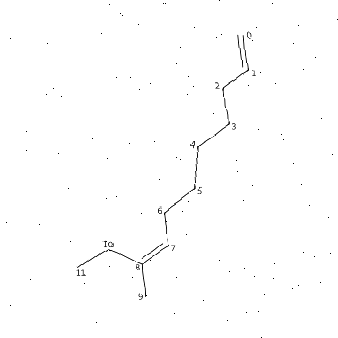 C=CCCCCCC=C(C)CC